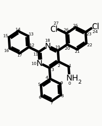 NCc1c(-c2ccccc2)nc(-c2ccccc2)nc1-c1ccc(Cl)cc1Cl